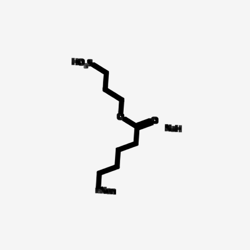 CCCCCCCCCCCCCC(=O)OCCCS(=O)(=O)O.[NaH]